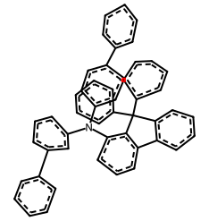 c1ccc(-c2ccc(N(c3cccc(-c4ccccc4)c3)c3cccc4c3C(c3ccccc3)(c3ccccc3)c3ccccc3-4)cc2)cc1